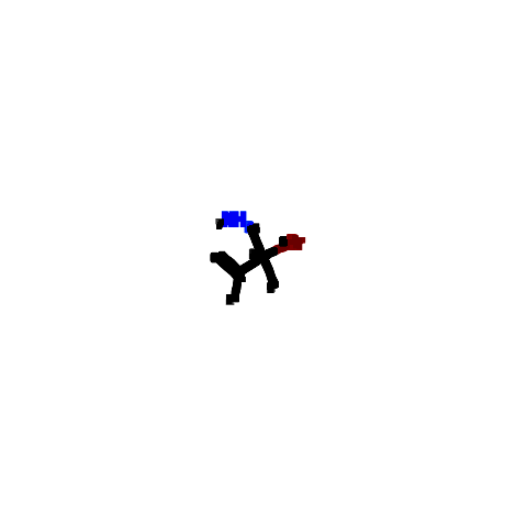 C=C(C)C(C)(C)Br.N